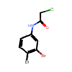 CCc1ccc(NC(=O)CCl)cc1Br